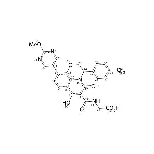 COc1ncc(-c2ccc3c(O)c(C(=O)NCC(=O)O)c(=O)n4c3c2OCC4c2ccc(C(F)(F)F)cc2)cn1